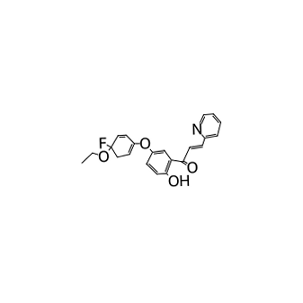 CCOC1(F)C=CC(Oc2ccc(O)c(C(=O)C=Cc3ccccn3)c2)=CC1